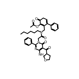 CCCCCCN(CC1=C(OC(C)=O)C(=O)CC=C1c1ccccc1)C(=O)Cn1c(-c2ccccc2)nc(N)c(C(=O)C2CCOC2)c1=O